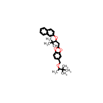 CC(OCc1ccc2c(c1)OC(CC(Oc1ccc3ccccc3c1)C(C)(C)C)O2)C(C)(C)C